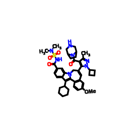 COc1ccc2c(c1)C=C(c1c(C(=O)N3C4CCC3CNC4)c(C)nn1C1CCC1)Cn1c-2c(C2CCCCC2)c2ccc(C(=O)NS(=O)(=O)N(C)C)cc21